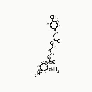 Cc1ccc(/C=C/C(=O)OCCCOC(=O)c2ccc(N)cc2N)cc1